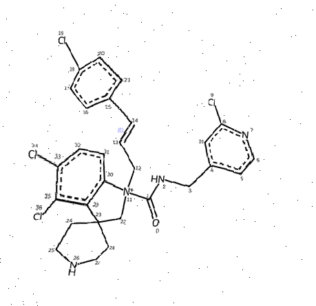 O=C(NCc1ccnc(Cl)c1)[N+]1(C/C=C/c2ccc(Cl)cc2)CC2(CCNCC2)c2c1ccc(Cl)c2Cl